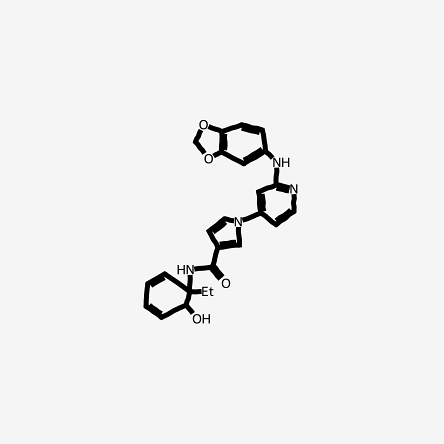 CCC1(NC(=O)c2ccn(-c3ccnc(Nc4ccc5c(c4)OCO5)c3)c2)C=CC=CC1O